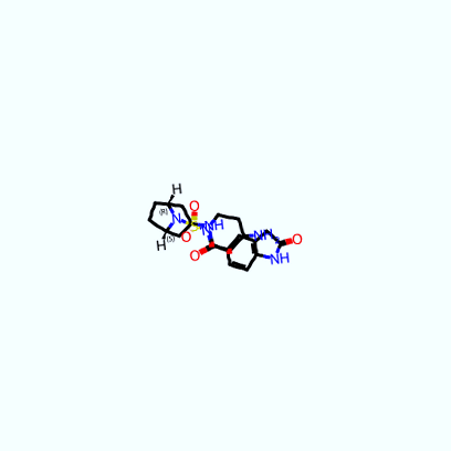 NC1CCN(S(=O)(=O)N2[C@@H]3CC[C@H]2CC(NC(=O)c2ccc4c(c2)CC(=O)N4)C3)CC1